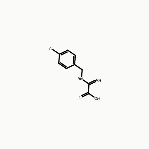 N=C(NCc1ccc(Cl)cc1)C(=O)O